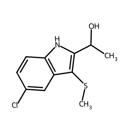 CSc1c(C(C)O)[nH]c2ccc(Cl)cc12